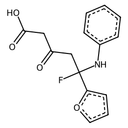 O=C(O)CC(=O)CC(F)(Nc1ccccc1)c1ccco1